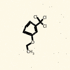 CCOc1cc[c]c(C(Cl)(Cl)Cl)c1